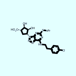 CCCSc1nc(NCCc2ccc(Cl)cc2)c2nnn([C@@H]3C[C@H](C(=O)O)[C@@H](O)[C@H]3O)c2n1